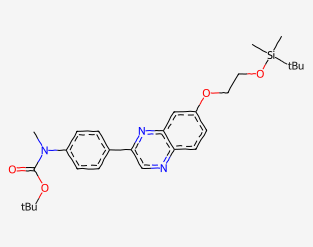 CN(C(=O)OC(C)(C)C)c1ccc(-c2cnc3ccc(OCCO[Si](C)(C)C(C)(C)C)cc3n2)cc1